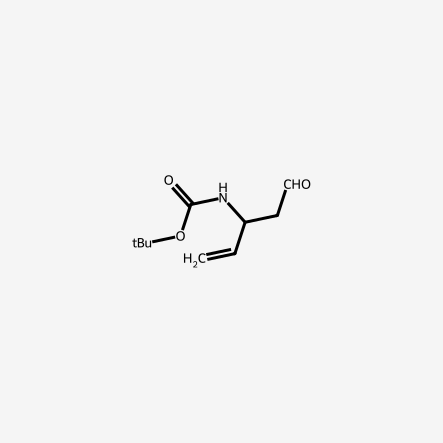 C=CC(CC=O)NC(=O)OC(C)(C)C